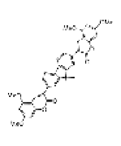 COc1cc(OC)c2cc(-c3ccc4c(c3)C(C)(C)c3cc(-c5cc6c(OC)cc(OC)cc6oc5=O)ccc3-4)c(=O)oc2c1